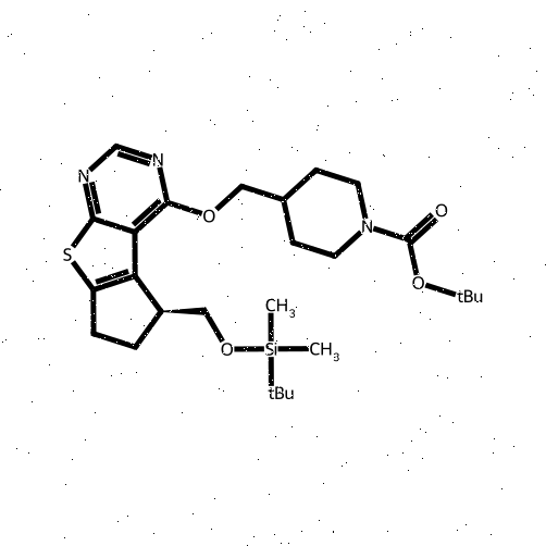 CC(C)(C)OC(=O)N1CCC(COc2ncnc3sc4c(c23)[C@@H](CO[Si](C)(C)C(C)(C)C)CC4)CC1